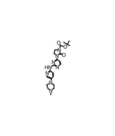 CN1CCN(c2ccc(Nc3nccc(N4CCN(C(=O)OC(C)(C)C)C4=O)n3)nc2)CC1